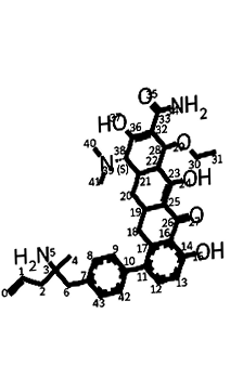 C=CCC(C)(N)Cc1ccc(-c2ccc(O)c3c2CC2CC4C(C(O)=C2C3=O)C(OCC)C(C(N)=O)=C(O)[C@H]4N(C)C)cc1